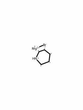 C1CCNCC1.[Mg+2][Br]